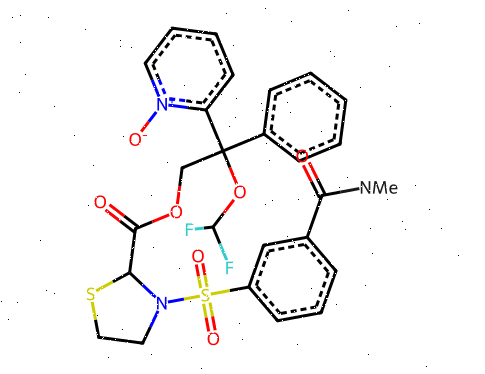 CNC(=O)c1cccc(S(=O)(=O)N2CCSC2C(=O)OCC(OC(F)F)(c2ccccc2)c2cccc[n+]2[O-])c1